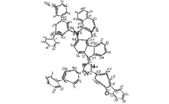 c1ccc(-c2ccc(-c3nc(-c4ccc5c(c4)oc4ccccc45)nc(-n4c5ccccc5c5c6c7ccc8ccccc8c7n(-c7cc(-c8ccccc8)cc(-c8ccccc8)c7)c6ccc54)n3)cc2)cc1